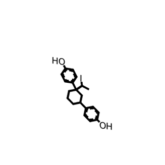 CC(I)C1(c2ccc(O)cc2)CCCC(c2ccc(O)cc2)C1